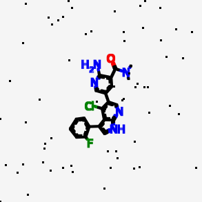 CN(C)C(=O)c1cc(-c2cnc3[nH]cc(-c4ccccc4F)c3c2Cl)cnc1N